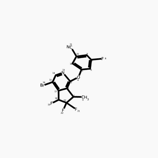 CC1c2c(Oc3cc(F)cc(C#N)c3)ncc(Br)c2C(F)C1(F)F